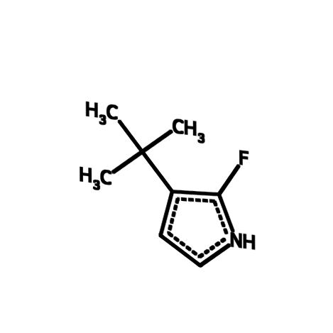 CC(C)(C)c1cc[nH]c1F